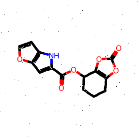 O=C(OC1CCCc2oc(=O)oc21)c1cc2occc2[nH]1